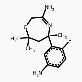 CC1(C)C[C@@](C)(c2cc(N)ccc2F)N=C(N)CO1